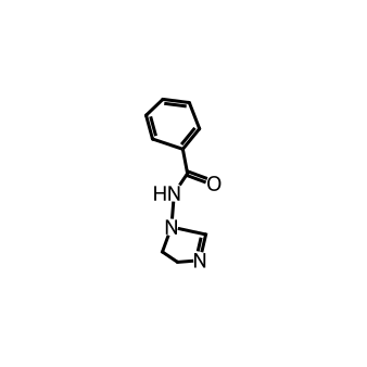 O=C(NN1C=NCC1)c1ccccc1